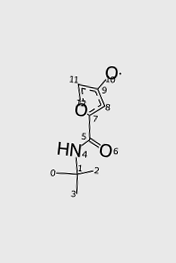 CC(C)(C)NC(=O)c1cc([O])co1